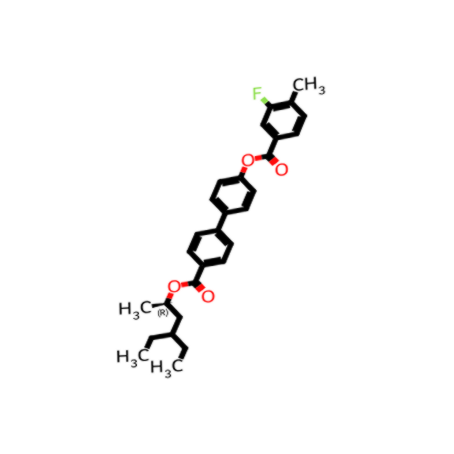 CCC(CC)C[C@@H](C)OC(=O)c1ccc(-c2ccc(OC(=O)c3ccc(C)c(F)c3)cc2)cc1